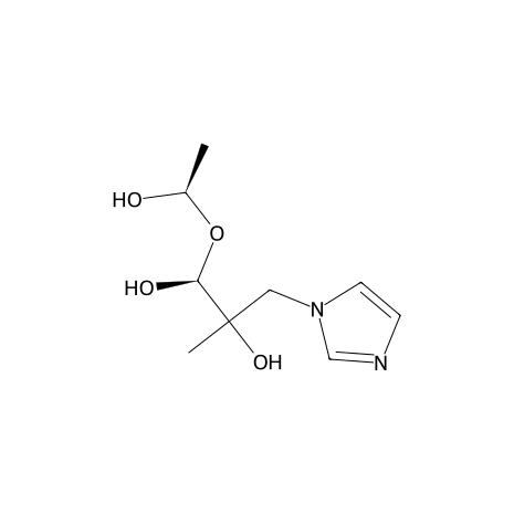 C[C@H](O)O[C@H](O)C(C)(O)Cn1ccnc1